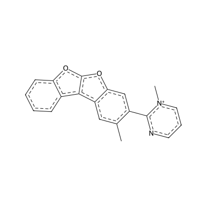 Cc1cc2c(cc1-c1nccc[n+]1C)oc1oc3ccccc3c12